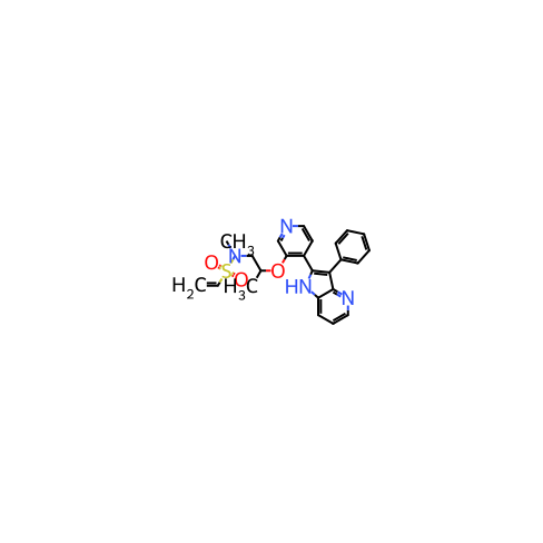 C=CS(=O)(=O)N(C)CC(C)Oc1cnccc1-c1[nH]c2cccnc2c1-c1ccccc1